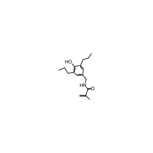 C=C(C)C(=O)NCc1cc(CCC)c(O)c(CCC)c1